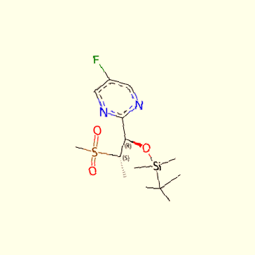 C[C@@H]([C@H](O[Si](C)(C)C(C)(C)C)c1ncc(F)cn1)S(C)(=O)=O